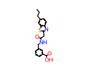 CCCc1ccc2nc(CC(=O)NCc3cccc(C(=O)O)c3)sc2c1